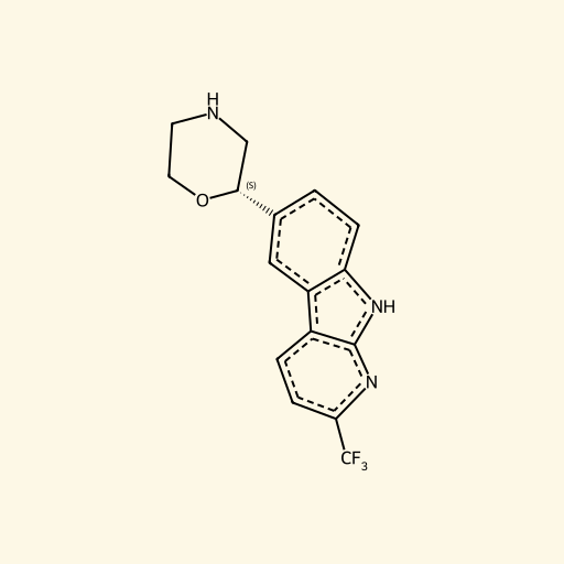 FC(F)(F)c1ccc2c(n1)[nH]c1ccc([C@H]3CNCCO3)cc12